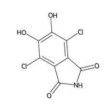 O=C1NC(=O)c2c(Cl)c(O)c(O)c(Cl)c21